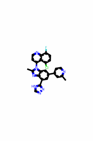 Cc1cc(-c2cc(-c3nnc[nH]3)c3nc(C)n(-c4ccnc5c(F)ccc(Cl)c45)c3c2)ccn1